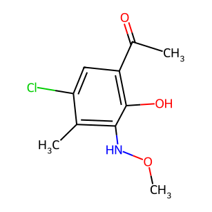 CONc1c(C)c(Cl)cc(C(C)=O)c1O